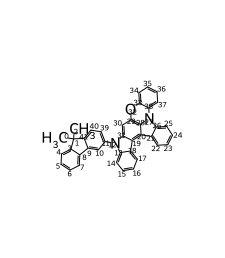 CC1(C)c2ccccc2-c2cc(-n3c4ccccc4c4c5c6ccccc6n6c5c(cc43)Oc3ccccc3-6)ccc21